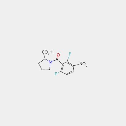 O=C(O)C1CCCN1C(=O)c1c(F)ccc([N+](=O)[O-])c1F